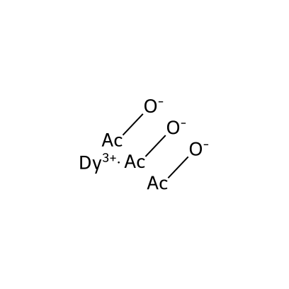 CC(=O)[O-].CC(=O)[O-].CC(=O)[O-].[Dy+3]